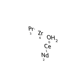 O.[Ce].[Nd].[Pr].[Zr]